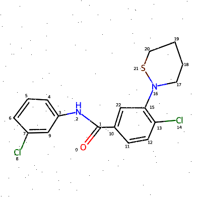 O=C(Nc1cccc(Cl)c1)c1ccc(Cl)c(N2CCCCS2)c1